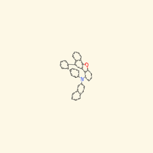 c1ccc(-c2cc3c(oc4cccc(N(c5ccccc5)c5ccc6ccccc6c5)c43)c3ccccc23)cc1